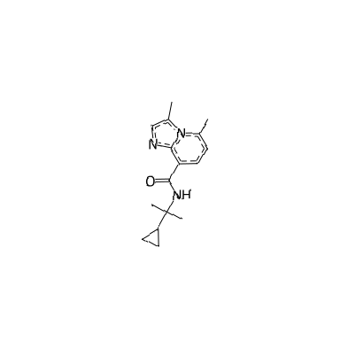 Cc1ccc(C(=O)NC(C)(C)C2CC2)c2ncc(C)n12